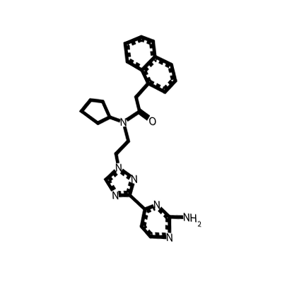 Nc1nccc(-c2ncn(CCN(C(=O)Cc3cccc4ccccc34)C3CCCC3)n2)n1